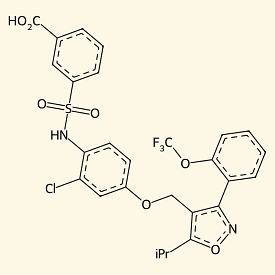 CC(C)c1onc(-c2ccccc2OC(F)(F)F)c1COc1ccc(NS(=O)(=O)c2cccc(C(=O)O)c2)c(Cl)c1